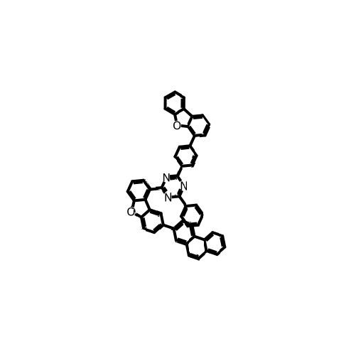 c1ccc(-c2nc(-c3ccc(-c4cccc5c4oc4ccccc45)cc3)nc(-c3cccc4oc5ccc(-c6ccc7c(ccc8ccccc87)c6)cc5c34)n2)cc1